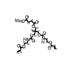 C=CC(=O)OCCNC(=O)OCC(C)(COC(=O)CCC(=O)OC)COC(=O)NCCOC(=O)C=C